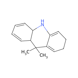 CC1(C)C2=CCCC=C2NC2C=CC=CC21